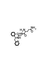 NC(=O)CCC(N)C(=O)NCC(=O)NC(Cc1ccccn1)c1ccccc1